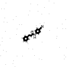 N#Cc1ccc(NC(=O)C=Cc2ccccc2)cc1